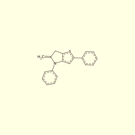 C=C1Cc2sc(-c3ccccc3)cc2N1c1ccccc1